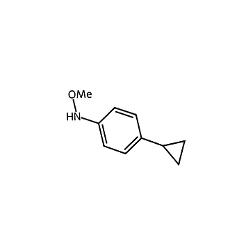 CONc1ccc(C2CC2)cc1